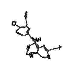 C#Cc1cc(Nc2ncnc3cnc(F)cc23)ccc1Cl